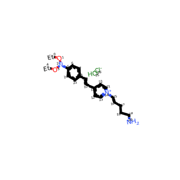 CCON(OCC)c1ccc(C=Cc2cc[n+](CCCCCN)cc2)cc1.Cl.[Cl-]